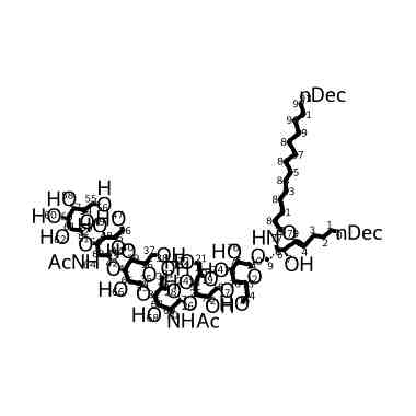 CCCCCCCCCCCCC/C=C/[C@@H](O)[C@H](CO[C@@H]1OC(CO)[C@@H](O[C@@H]2OC(CO)[C@H](O)[C@H](O[C@@H]3OC(CO)[C@@H](O[C@@H]4OC(CO)[C@H](O)[C@H](O[C@@H]5OC(CO)[C@@H](O)[C@H](O[C@@H]6OC(CO)[C@H](O)[C@H](O)C6O)C5NC(C)=O)C4O)[C@H](O)C3NC(C)=O)C2O)[C@H](O)C1O)NC(=O)CCCCCCCCCCCCCCCCCCCCCCC